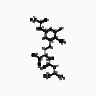 CC(=O)Nc1cc(F)c(C)c(CC[C@H](NC(=O)OC(C)C)C(=O)Cl)c1